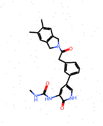 CNC(=O)Nc1cc(-c2cccc(CC(=O)N3Cc4cc(C)c(C)cc4C3)c2)c[nH]c1=O